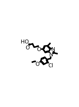 CCOc1ccc(Cn2c(C)nc3c(C)cc(OCCCC(=O)O)cc32)c(Cl)c1